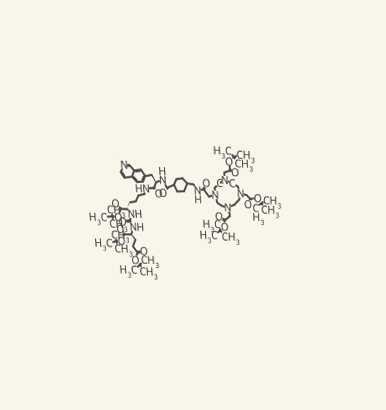 CC(C)(C)OC(=O)CC[C@H](NC(=O)N[C@@H](CCCCNC(=O)[C@@H](Cc1ccc2ccncc2c1)NC(=O)C1CCC(CNC(=O)CN2CCN(CC(=O)OC(C)(C)C)CCN(CC(=O)OC(C)(C)C)CCN(CC(=O)OC(C)(C)C)CC2)CC1)C(=O)OC(C)(C)C)C(=O)OC(C)(C)C